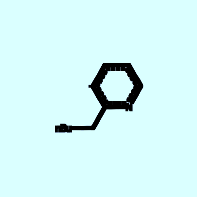 CCCCCc1[c]cccn1